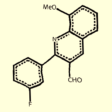 COc1cccc2cc(C=O)c(-c3cccc(F)c3)nc12